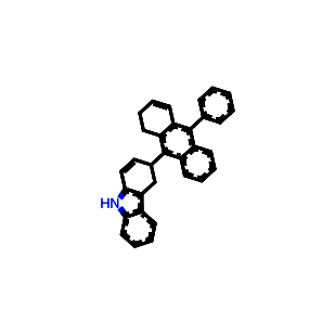 C1=Cc2c(c(C3C=Cc4[nH]c5ccccc5c4C3)c3ccccc3c2-c2ccccc2)CC1